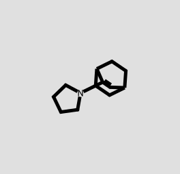 C1=C(N2CCCC2)C2CCC1CC2